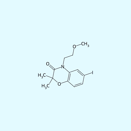 COCCN1C(=O)C(C)(C)Oc2ccc(I)cc21